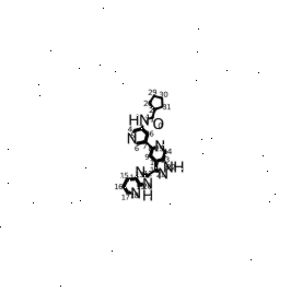 O=C(Nc1cncc(-c2cc3c(-c4nc5cccnc5[nH]4)n[nH]c3cn2)c1)C1CCCC1